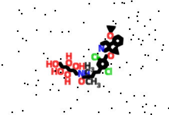 CC(C)(CCCc1cc(Cl)c(COC2(c3cnccc3-c3ccccc3OC3CC3)CC2)cc1Cl)C(=O)NCC(O)C(O)C(O)C(O)CO